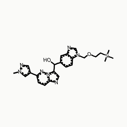 Cn1cc(-c2ccc3ncc(C(O)c4ccc5c(c4)ncn5COCC[Si](C)(C)C)n3n2)cn1